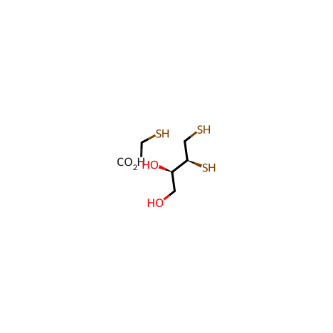 O=C(O)CS.OC[C@@H](O)[C@H](S)CS